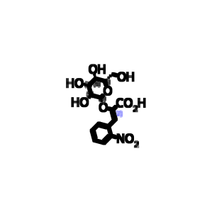 O=C(O)/C(=C/c1ccccc1[N+](=O)[O-])O[C@H]1O[C@@H](CO)[C@@H](O)[C@@H](O)[C@@H]1O